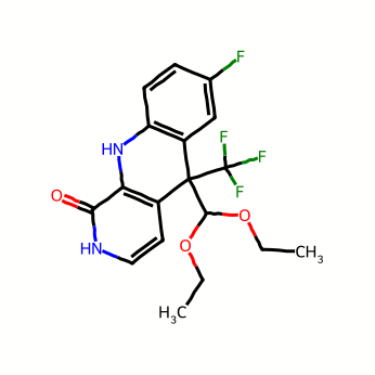 CCOC(OCC)C1(C(F)(F)F)c2cc(F)ccc2Nc2c1cc[nH]c2=O